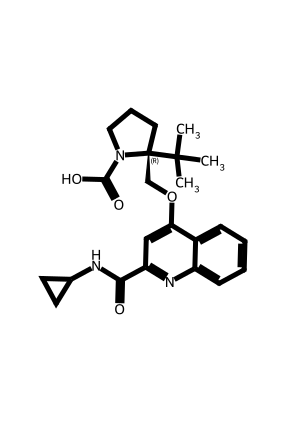 CC(C)(C)[C@@]1(COc2cc(C(=O)NC3CC3)nc3ccccc23)CCCN1C(=O)O